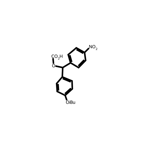 CC(C)COc1ccc(C(OC(=O)O)c2ccc([N+](=O)[O-])cc2)cc1